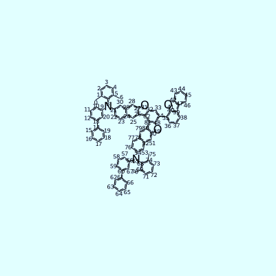 Cc1cccc(C)c1N(c1cccc(-c2ccccc2)c1)c1ccc2cc3c(cc2c1)oc1cc(-c2cccc4c2oc2ccccc24)c2oc4cc5cc(N(c6cccc(-c7ccccc7)c6)c6c(C)cccc6C)ccc5cc4c2c13